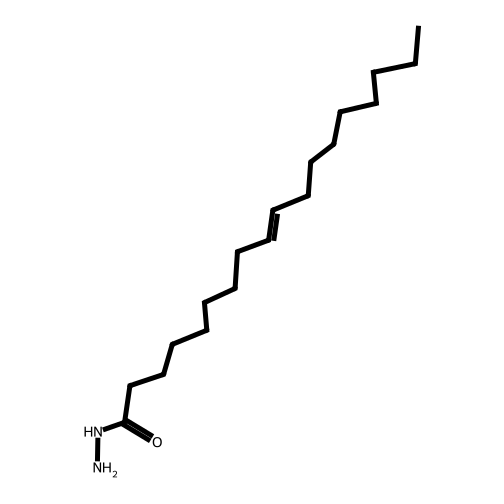 CCCCCCCCC=CCCCCCCCC(=O)NN